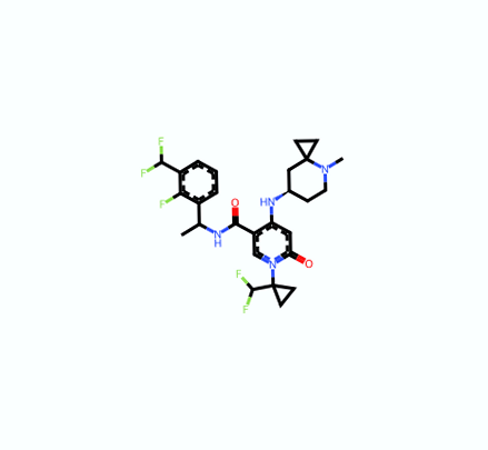 CC(NC(=O)c1cn(C2(C(F)F)CC2)c(=O)cc1N[C@@H]1CCN(C)C2(CC2)C1)c1cccc(C(F)F)c1F